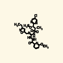 CCc1cc(CN=C(NNC(=O)c2cccc(OC)n2)NS(=O)(=O)[C@@H](C)[C@H](OC)c2ncc(Cl)cn2)on1